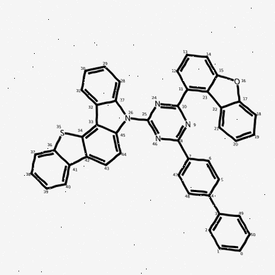 c1ccc(-c2ccc(-c3nc(-c4cccc5oc6ccccc6c45)nc(-n4c5ccccc5c5c6sc7ccccc7c6ccc54)n3)cc2)cc1